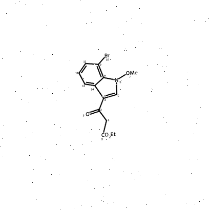 CCOC(=O)CC(=O)c1cn(OC)c2c(Br)cccc12